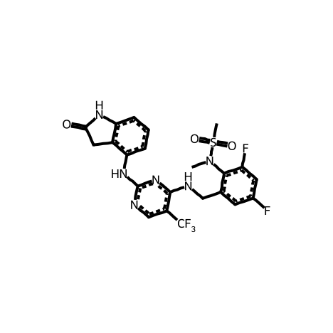 CN(c1c(F)cc(F)cc1CNc1nc(Nc2cccc3c2CC(=O)N3)ncc1C(F)(F)F)S(C)(=O)=O